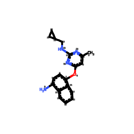 Cc1cc(Oc2ccc(N)c3ccccc23)nc(NCC2CC2)n1